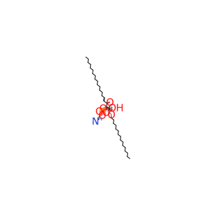 CCCCCCCCCCCCCCCC=CC(=O)C(OP(=O)([O-])OCC[N+](C)(C)C)[C@@H](O)COCCCCCCCCCCCCCCCC